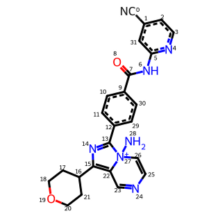 N#Cc1ccnc(NC(=O)c2ccc(C3=NC(C4CCOCC4)=C4C=NC=C[N+]34N)cc2)c1